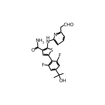 CC(C)(O)c1cc(F)c(-c2cc(C(N)=O)c(Nc3cccc(CC=O)n3)s2)c(F)c1